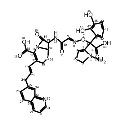 NN1CSC=C1C(ON=CC(=O)NC1C(=O)N2C(C(=O)O)=C(C=CCc3ccc4cccnc4c3)CSC12)(C(=O)O)c1cccc(O)c1O